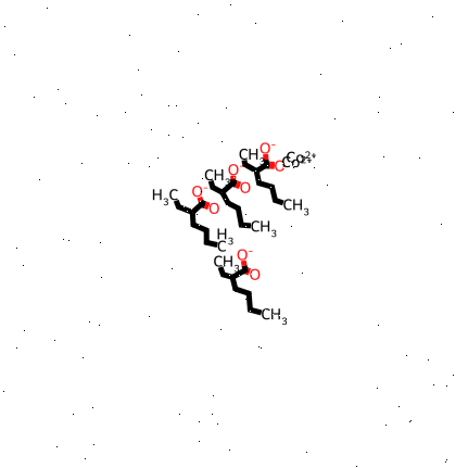 CCCCC(CC)C(=O)[O-].CCCCC(CC)C(=O)[O-].CCCCC(CC)C(=O)[O-].CCCCC(CC)C(=O)[O-].[Co+2].[Co+2]